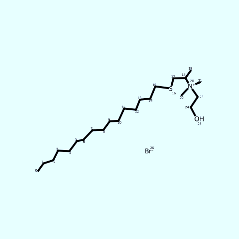 CCCCCCCCCCCCCCCCSCC(C)[N+](C)(C)CCO.[Br-]